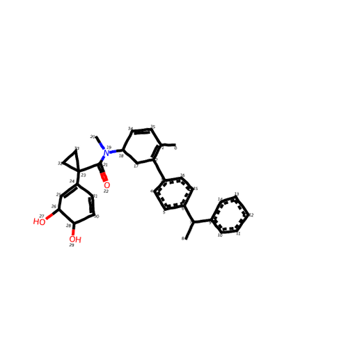 CC1=C(c2ccc(C(C)c3ccccc3)cc2)CC(N(C)C(=O)C2(C3=CC(O)C(O)C=C3)CC2)C=C1